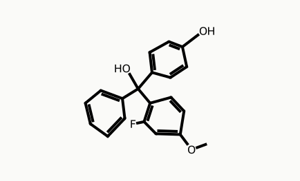 COc1ccc(C(O)(c2ccccc2)c2ccc(O)cc2)c(F)c1